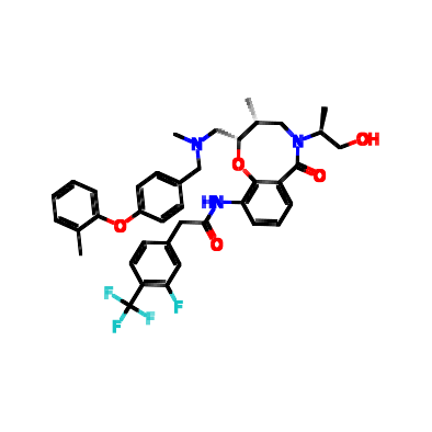 Cc1ccccc1Oc1ccc(CN(C)C[C@H]2Oc3c(NC(=O)Cc4ccc(C(F)(F)F)c(F)c4)cccc3C(=O)N([C@@H](C)CO)C[C@H]2C)cc1